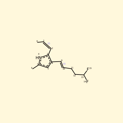 C/C=C\c1[nH]c(C)cc1/C=C/CCC(F)F